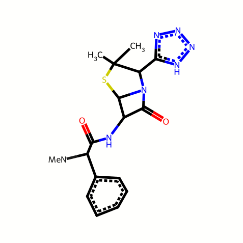 CNC(C(=O)NC1C(=O)N2C1SC(C)(C)C2c1nnn[nH]1)c1ccccc1